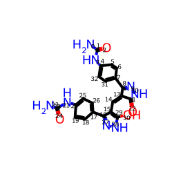 NC(=O)Nc1ccc(C2=NNC(=O)C2=Cc2c(-c3ccc(NC(N)=O)cc3)n[nH]c2O)cc1